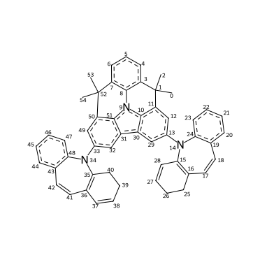 CC1(C)c2cccc3c2-n2c4c1cc(N1C5=C(C=Cc6ccccc61)CCC=C5)cc4c1cc(N4C5=C(C=CCC5)C=Cc5ccccc54)cc(c12)C3(C)C